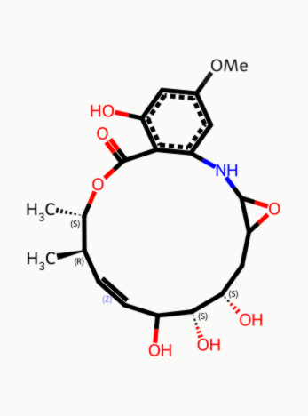 COc1cc(O)c2c(c1)NC1OC1C[C@H](O)[C@H](O)C(O)/C=C\[C@@H](C)[C@H](C)OC2=O